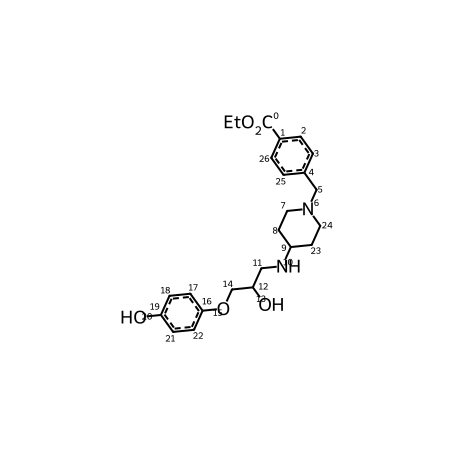 CCOC(=O)c1ccc(CN2CCC(NCC(O)COc3ccc(O)cc3)CC2)cc1